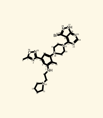 Cc1nc(-c2cc(NCCN3CCCC3)c(C)c(N3CCN(c4ncnc5[nH]nc(Br)c45)CC3)c2)no1